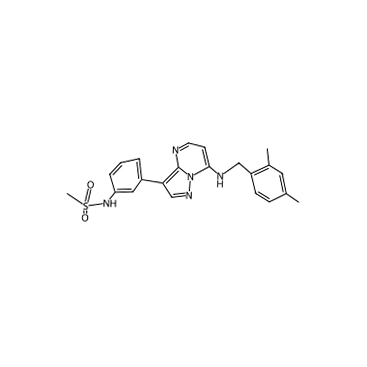 Cc1ccc(CNc2ccnc3c(-c4cccc(NS(C)(=O)=O)c4)cnn23)c(C)c1